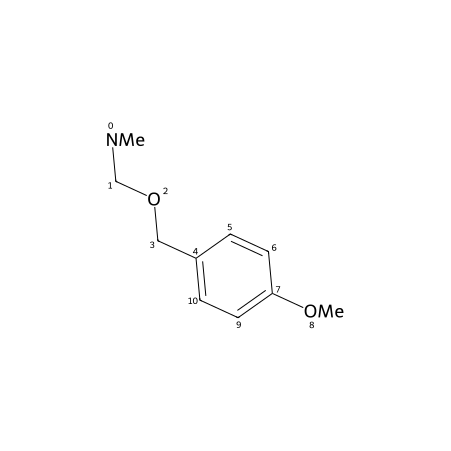 CNCOCc1ccc(OC)cc1